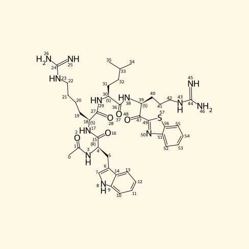 CC(=O)N[C@H](Cc1c[nH]c2ccccc12)C(=O)N[C@@H](CCCCNC(=N)N)C(=O)N[C@@H](CCC(C)C)C(=O)N[C@@H](CCCNC(=N)N)C(=O)c1nc2ccccc2s1